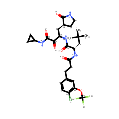 CC(C)(C)C[C@H](NC(=O)CCc1ccc(Cl)c(OC(F)(F)F)c1)C(=O)NC(C[C@@H]1CCNC1=O)C(=O)C(=O)NC1CC1